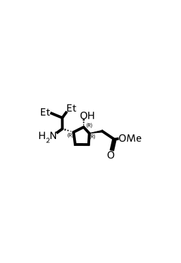 CCC(CC)C(N)[C@H]1CC[C@H](CC(=O)OC)[C@H]1O